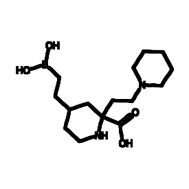 O=C(O)C1(CCN2CCCCC2)CC(CCB(O)O)CCN1